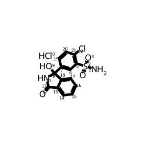 Cl.NS(=O)(=O)c1cc(C2(O)NC(=O)c3ccccc32)ccc1Cl